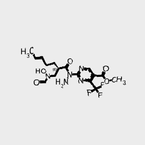 CCCCC[C@H](CN(O)C=O)C(=O)N(N)c1ncc(C(=O)OC)c(C(F)(F)F)n1